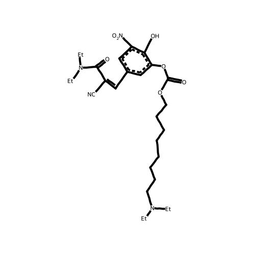 CCN(CC)CCCCCCCCOC(=O)Oc1cc(C=C(C#N)C(=O)N(CC)CC)cc([N+](=O)[O-])c1O